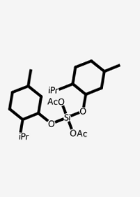 CC(=O)O[Si](OC(C)=O)(OC1CC(C)CCC1C(C)C)OC1CC(C)CCC1C(C)C